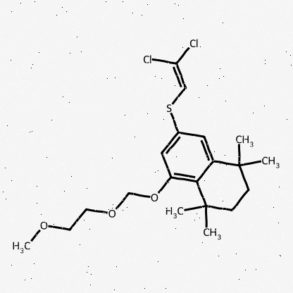 COCCOCOc1cc(SC=C(Cl)Cl)cc2c1C(C)(C)CCC2(C)C